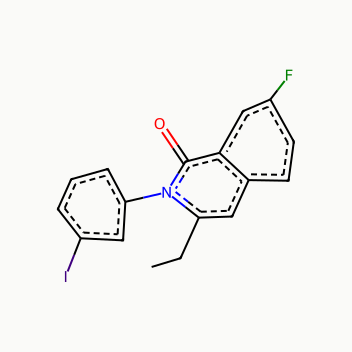 CCc1cc2ccc(F)cc2c(=O)n1-c1cccc(I)c1